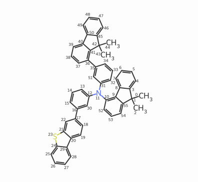 CC1(C)c2ccccc2-c2c(N(c3cccc(-c4ccc5c(c4)sc4ccccc45)c3)c3cccc(-c4cccc5c4C(C)(C)c4ccccc4-5)c3)cccc21